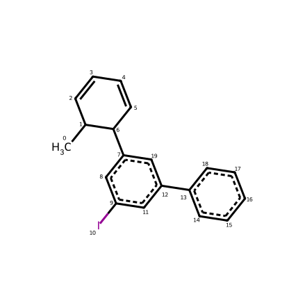 CC1C=CC=CC1c1cc(I)cc(-c2ccccc2)c1